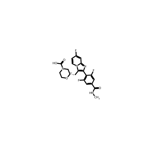 CNC(=O)c1cc(F)c(-c2nc3cc(F)ccn3c2C[C@H]2CN(C(=O)O)CCO2)c(F)c1